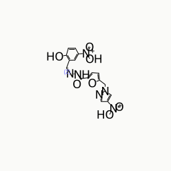 O=C(N/N=C\c1cc([N+](=O)O)ccc1O)c1ccc(Cn2cc([N+](=O)O)cn2)o1